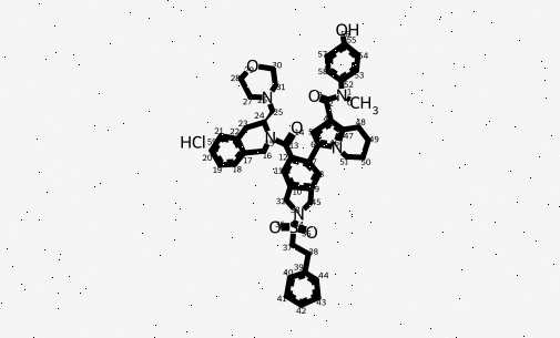 CN(C(=O)c1cc(-c2cc3c(cc2C(=O)N2Cc4ccccc4C[C@H]2CN2CCOCC2)CN(S(=O)(=O)CCc2ccccc2)C3)n2c1CCCC2)c1ccc(O)cc1.Cl